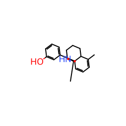 CC1=CC=CC23CC(C)NCC2(c2cccc(O)c2)CCCC13